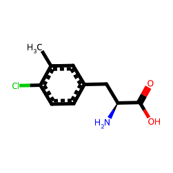 Cc1cc(C[C@H](N)C(=O)O)ccc1Cl